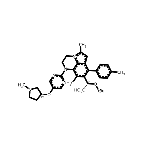 Cc1ccc(-c2c([C@H](OC(C)(C)C)C(=O)O)c(C)c3c4c2cc(C)n4CCN3c2ncc(O[C@H]3CCN(C)C3)cn2)cc1